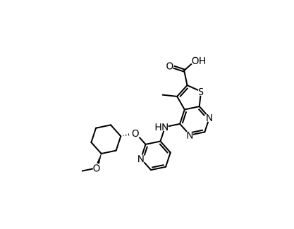 CO[C@H]1CCC[C@H](Oc2ncccc2Nc2ncnc3sc(C(=O)O)c(C)c23)C1